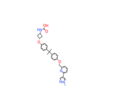 Cn1cc(-c2cccc(COc3ccc(C(C)(C)c4ccc(O[C@H]5C[C@H](NC(=O)O)C5)cc4)cc3)n2)cn1